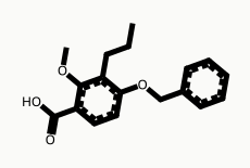 CCCc1c(OCc2ccccc2)ccc(C(=O)O)c1OC